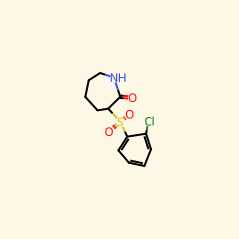 O=C1NCCCCC1S(=O)(=O)c1ccccc1Cl